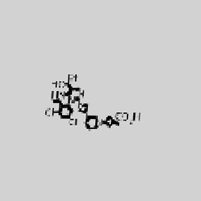 CCC(O)c1cnc(N2CC([C@H]3CCCN(C4CC(C)(C(=O)O)C4)C3)C2)nc1NC(C)c1ccc(Cl)cc1Cl